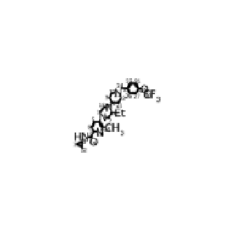 CC[C@H]1CN(c2ccc(C(=O)NC3CC3)nc2C)CCN1C1CCN(Cc2ccc(OC(F)(F)F)cc2)CC1